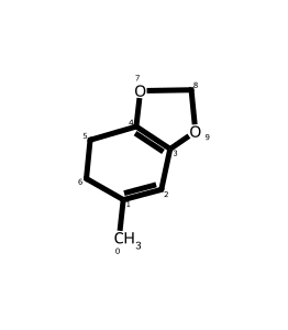 CC1=CC2=C(CC1)OCO2